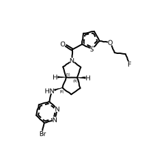 O=C(c1ccc(OCCF)s1)N1C[C@@H]2CC[C@@H](Nc3ccc(Br)nn3)[C@@H]2C1